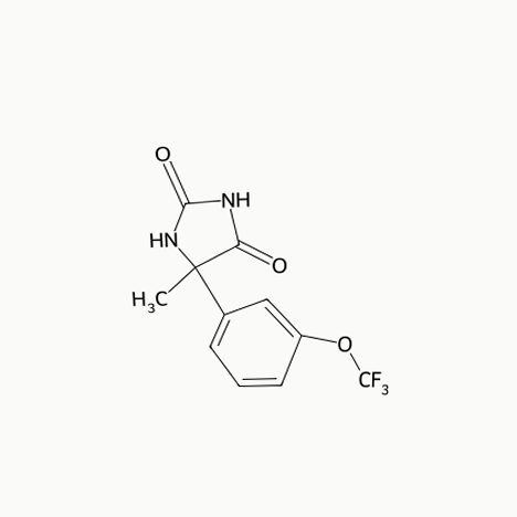 CC1(c2cccc(OC(F)(F)F)c2)NC(=O)NC1=O